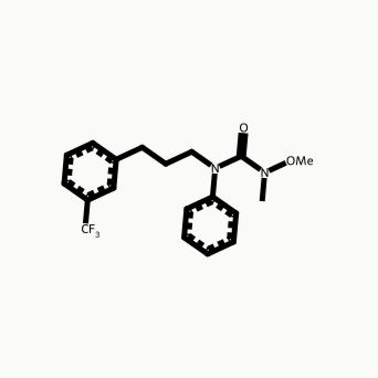 CON(C)C(=O)N(CCCc1cccc(C(F)(F)F)c1)c1ccccc1